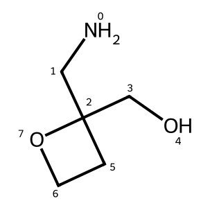 NCC1(CO)CCO1